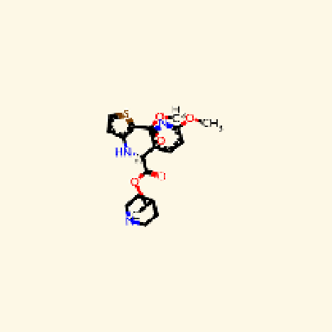 COC(=O)c1sccc1N[C@@H](C(=O)OC1CN2CCC1CC2)c1ccc(OC)nc1